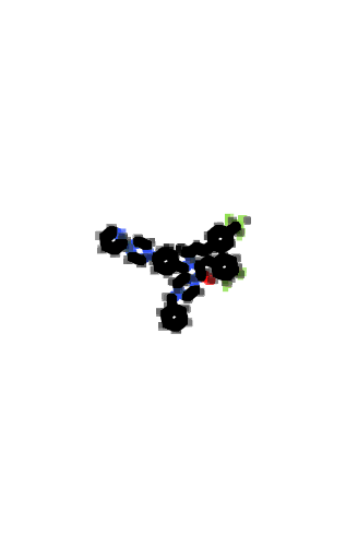 C=C(/C=C/c1ccc(C(F)(F)F)cc1)N(Cc1ccc(N2CCN(c3ccccn3)CC2)cc1)[C@@H](Cc1ccc(F)c(F)c1)C(=O)N1CCN(Cc2ccccc2)CC1